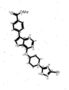 COC(=O)c1ccc(-c2csc3c(OC4CCN(c5nc(C(C)C)no5)CC4)ncnc23)cc1